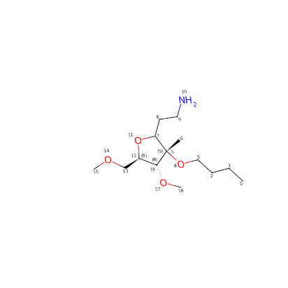 CCCCO[C@@]1(C)C(CCN)O[C@H](COC)[C@H]1OC